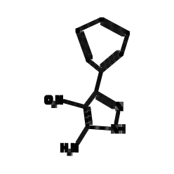 Nc1[nH]nc(-c2ccccc2)c1[N+](=O)[O-]